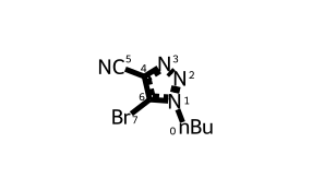 CCCCn1nnc(C#N)c1Br